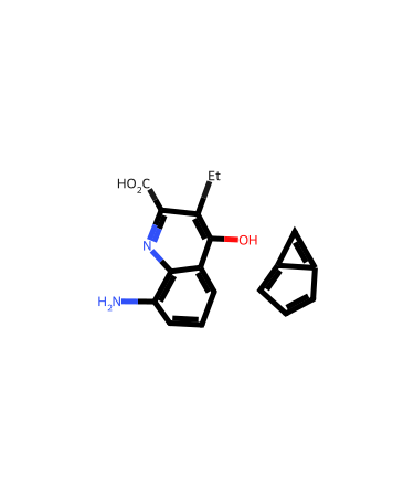 CCc1c(C(=O)O)nc2c(N)cccc2c1O.c1cc2cc-2c1